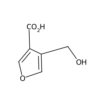 O=C(O)c1cocc1CO